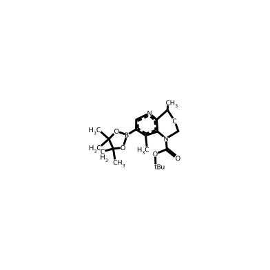 Cc1c(B2OC(C)(C)C(C)(C)O2)cnc2c1N(C(=O)OC(C)(C)C)CCC2C